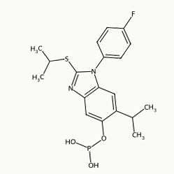 CC(C)Sc1nc2cc(OP(O)O)c(C(C)C)cc2n1-c1ccc(F)cc1